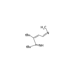 C/N=C\C=C(/C(=N)C(C)(C)C)C(C)(C)C